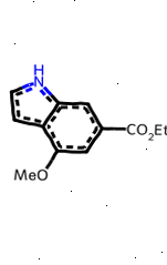 CCOC(=O)c1cc(OC)c2cc[nH]c2c1